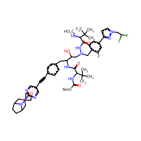 COC(=O)NC(C(=O)NC(Cc1ccc(C#Cc2cnc(N3CC4CCC(C3)N4C3COC3)nc2)cc1)C(O)CN(Cc1c(F)cc(-c2ccn(CC(F)F)n2)cc1F)NC(=O)C(NC(=O)O)C(C)(C)C(F)(F)F)C(C)(C)C(F)(F)F